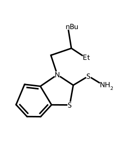 CCCCC(CC)CN1c2ccccc2SC1SN